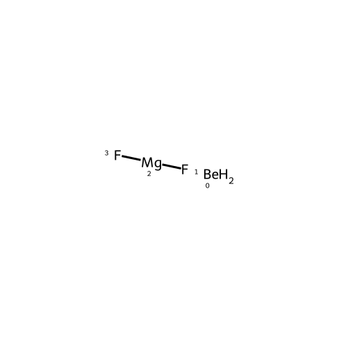 [BeH2].[F][Mg][F]